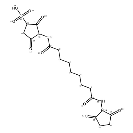 O=C(CCCCCCCC(=O)ON1C(=O)CC(S(=O)(=O)O)C1=O)NN1C(=O)CCC1=O